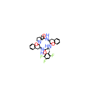 O=C1N[C@H](Cc2cc(F)c(F)cc2F)C(=O)N[C@@H](Cc2ccccc2)C(=O)N2CCC[C@@H]2C(=O)N[C@H]1Cc1ccccc1